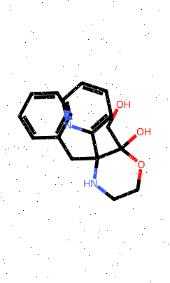 OCC1(O)OCCNC1(Cc1ccccc1)c1ccccn1